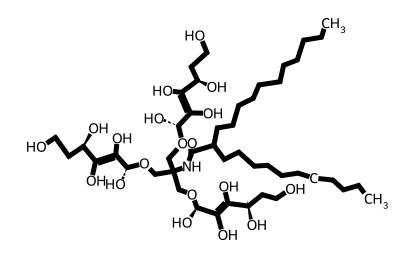 CCCCCCCCCCCC(CCCCCCCCCCC)C(=O)NC(CO[C@H](O)/C(O)=C(\O)[C@H](O)CCO)(CO[C@H](O)/C(O)=C(\O)[C@H](O)CCO)CO[C@H](O)/C(O)=C(\O)[C@H](O)CCO